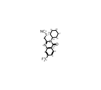 N#CSCc1nc2cc(C(F)(F)F)ccc2c(=O)n1C1CCCCC1